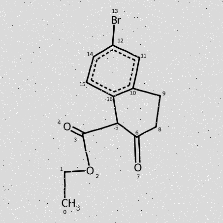 CCOC(=O)C1C(=O)CCc2cc(Br)ccc21